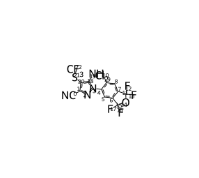 N#Cc1nn(-c2cc3c(cc2Cl)C(F)(F)OC3(F)F)c(N)c1SC(F)(F)F